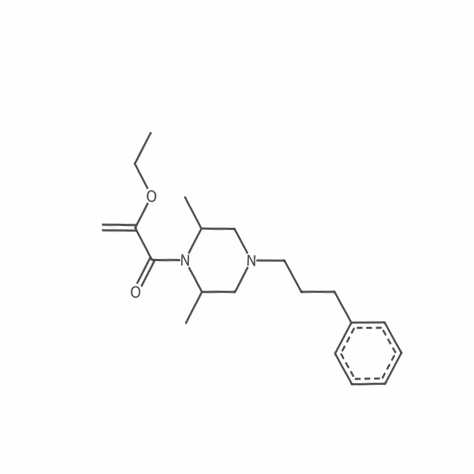 C=C(OCC)C(=O)N1C(C)CN(CCCc2ccccc2)CC1C